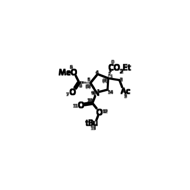 CCOC(=O)[C@@]1(CC(C)=O)C[C@@H](C(=O)OC)N(C(=O)OC(C)(C)C)C1